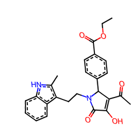 CCOC(=O)c1ccc(C2C(C(C)=O)=C(O)C(=O)N2CCc2c(C)[nH]c3ccccc23)cc1